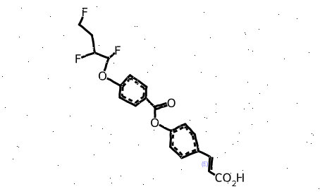 O=C(O)/C=C/c1ccc(OC(=O)c2ccc(OC(F)C(F)CCF)cc2)cc1